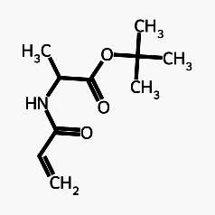 C=CC(=O)NC(C)C(=O)OC(C)(C)C